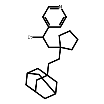 CC[C](CC1(CCC23CC4CC(CC(C4)C2)C3)CCCC1)c1ccncc1